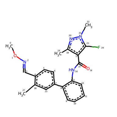 CO/N=C/c1ccc(-c2ccccc2NC(=O)c2c(C)nn(C)c2F)cc1C